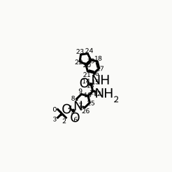 CC(C)(C)OC(=O)N1CCC(C(N)C(=O)Nc2ccc3c(c2)CCC3)CC1